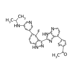 CC(=O)c1ccc(-c2ccnc3[nH]c(-c4n[nH]c5ccc(-c6cncc(NC(C)C)c6)c(F)c45)nc23)s1